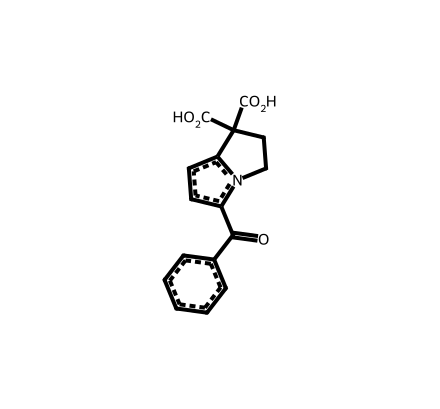 O=C(c1ccccc1)c1ccc2n1CCC2(C(=O)O)C(=O)O